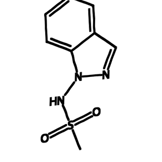 CS(=O)(=O)Nn1ncc2ccccc21